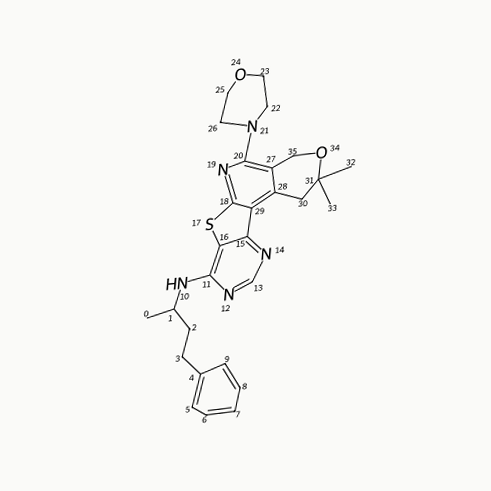 CC(CCc1ccccc1)Nc1ncnc2c1sc1nc(N3CCOCC3)c3c(c12)CC(C)(C)OC3